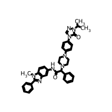 CC(C)n1ncn(-c2ccc(N3CCN(C(C(=O)Nc4ccc5c(c4)nc(-c4ccccc4)n5C)c4ccccc4)CC3)cc2)c1=O